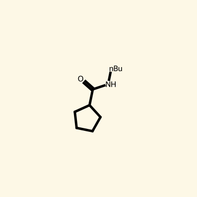 CCCCNC(=O)C1CCCC1